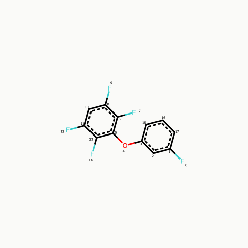 Fc1[c]c(Oc2c(F)c(F)cc(F)c2F)ccc1